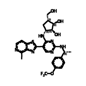 Cc1nccc2sc(-c3cnc(N[C@H](C)c4ccc(OC(F)(F)F)cc4)nc3N[C@@H]3C[C@H](CO)[C@@H](O)[C@H]3O)nc12